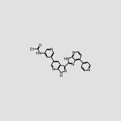 CCC(=O)Nc1cncc(-c2cnc3[nH]nc(-c4nc5c(-c6ccncc6)ccnc5[nH]4)c3c2)c1